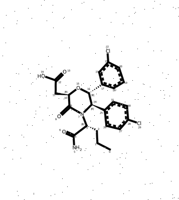 CCC[C@H](C(N)=O)N1C(=O)[C@@H](CC(=O)O)O[C@H](c2cccc(Cl)c2)[C@H]1c1ccc(Cl)cc1